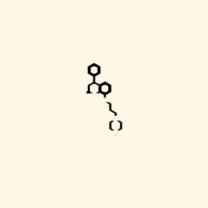 CN1CCN(CCCSc2cccc3c2NC(=O)CC3c2ccccc2)CC1